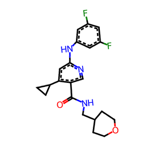 O=C(NCC1CCOCC1)c1cnc(Nc2cc(F)cc(F)c2)cc1C1CC1